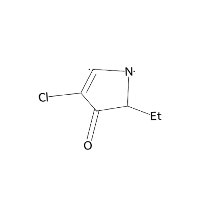 CCC1[N][C]=C(Cl)C1=O